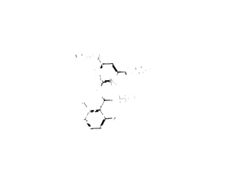 COc1cc(OC)nc(SC(C=O)c2c(C)cccc2C)n1